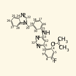 CC(C)Oc1cc(F)ccc1-c1cc(Nc2cccc(Cn3cnc4ccccc43)c2)ncn1